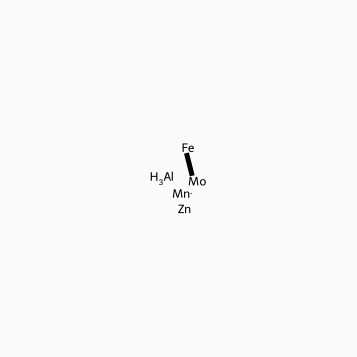 [AlH3].[Fe][Mo].[Mn].[Zn]